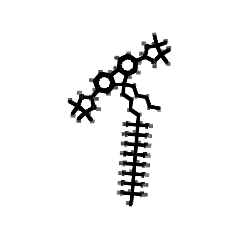 CCCCCC1(CCCCC(F)(F)C(F)(F)C(F)(F)C(F)(F)C(F)(F)C(F)(F)C(F)(F)C(F)(F)F)c2cc(B3OC(C)(C)C(C)(C)O3)ccc2-c2ccc(B3OC(C)(C)C(C)(C)O3)cc21